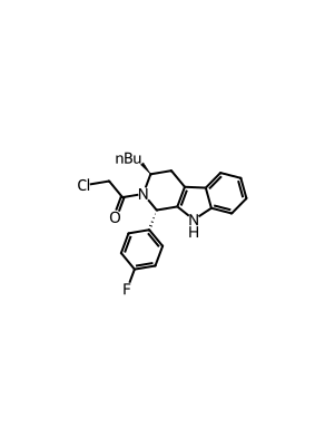 CCCC[C@H]1Cc2c([nH]c3ccccc23)[C@H](c2ccc(F)cc2)N1C(=O)CCl